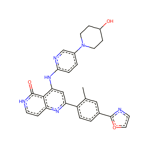 Cc1cc(-c2ncco2)ccc1-c1cc(Nc2ccc(N3CCC(O)CC3)cn2)c2c(=O)[nH]ccc2n1